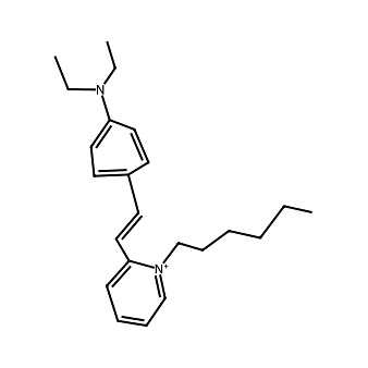 CCCCCC[n+]1ccccc1/C=C/c1ccc(N(CC)CC)cc1